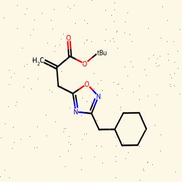 C=C(Cc1nc(CC2CCCCC2)no1)C(=O)OC(C)(C)C